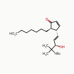 CCCCC(C)(C)[C@H](O)/C=C/[C@H]1C=CC(=O)[C@@H]1CCCCCCC(=O)O